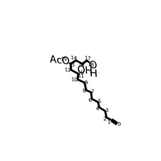 C#CCCCCCCCCCCCC(CC(O)CO)OC(C)=O